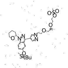 C[C@H](COCCn1cc(-c2nn(C3CCCCO3)c3ccc(O[Si](C)(C)C(C)(C)C)cc23)cn1)OCCOS(C)(=O)=O